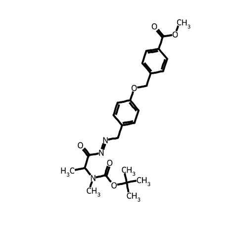 COC(=O)c1ccc(COc2ccc(CN=NC(=O)C(C)N(C)C(=O)OC(C)(C)C)cc2)cc1